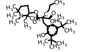 CCCCC(Cc1cc(C(C)(C)C)cc(C(C)(C)C)c1O)(C(=O)O)C(=O)OC1CCC(C)(C)N(C)C1(C)C